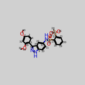 COc1ccc(-c2n[nH]c3ccc(NS(=O)(=O)c4ccccc4S(C)(=O)=O)cc23)c(OC)c1